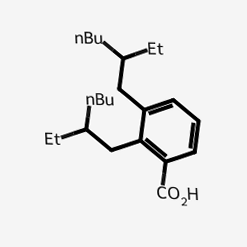 CCCCC(CC)Cc1cccc(C(=O)O)c1CC(CC)CCCC